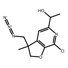 CC(O)c1cc2c(c(Cl)n1)OCC2(C)CN=[N+]=[N-]